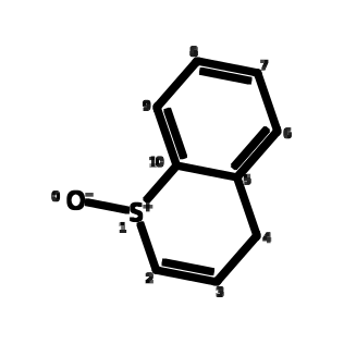 [O-][S+]1C=CCc2ccccc21